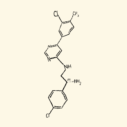 N[C@@H](CNc1cc(-c2ccc(C(F)(F)F)c(Cl)c2)ncn1)c1ccc(Cl)cc1